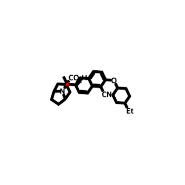 CCC1CCC(Oc2ccc3cc(C(C)N4C5CCC4CC(C(=O)O)C5)ccc3c2C#N)CC1